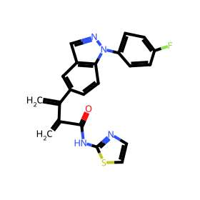 C=C(C(=C)c1ccc2c(cnn2-c2ccc(F)cc2)c1)C(=O)Nc1nccs1